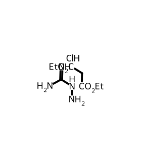 CCOC(=O)CC(=O)OCC.Cl.N=C(N)NN